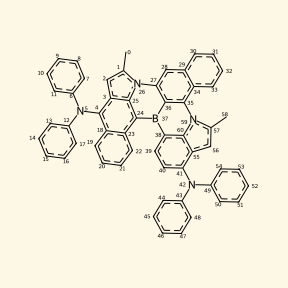 Cc1cc2c(N(c3ccccc3)c3ccccc3)c3ccccc3c3c2n1-c1cc2ccccc2c2c1B3c1ccc(N(c3ccccc3)c3ccccc3)c3cc(C)n-2c13